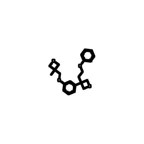 CC1(COc2cccc(C3(CCOc4[c]cccc4)COC3)c2)COC1